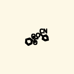 N#CC(OCS(=O)(=O)c1ccccc1)c1ccccc1